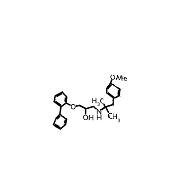 COc1ccc(CC(C)(C)NCC(O)COc2ccccc2-c2ccccc2)cc1